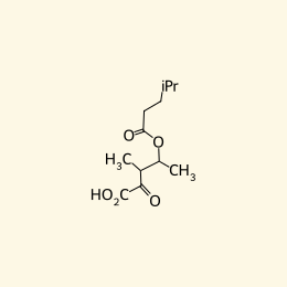 CC(C)CCC(=O)OC(C)C(C)C(=O)C(=O)O